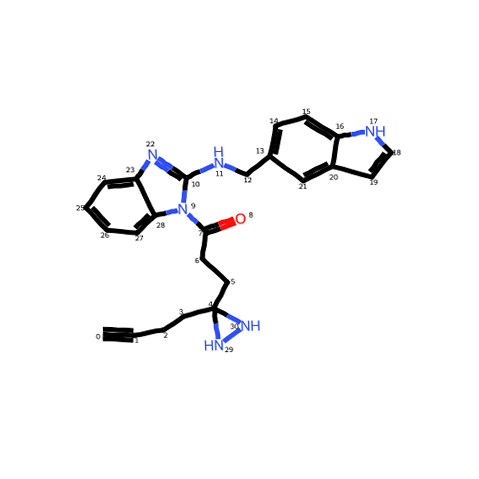 C#CCCC1(CCC(=O)n2c(NCc3ccc4[nH]ccc4c3)nc3ccccc32)NN1